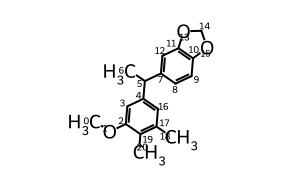 COc1cc(C(C)c2ccc3c(c2)OCO3)cc(C)c1C